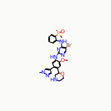 COc1cc(C2CNCCO2)c(-c2cnn(C)c2)cc1Nc1ncc(Br)c(Nc2ccccc2P(C)(C)=O)n1